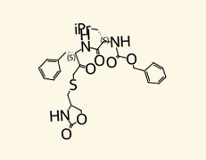 CC(C)C[C@H](NC(=O)OCc1ccccc1)C(=O)N[C@@H](Cc1ccccc1)C(=O)CSCC1COC(=O)N1